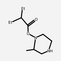 CCC(CC)C(=O)ON1CCNCC1C